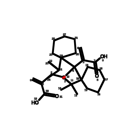 C=C(COC(C(=C)C(=O)O)(C1(C(C)(C)C)CCCCC1)C1(C(C)(C)C)CCCCC1)C(=O)O